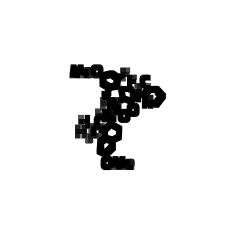 COc1cc(F)c([C@@H]2CN(c3ncccc3C(F)(F)F)C(=O)C2NC(=O)NC2CCc3cc(OC)ccc3C2(C)C)c(F)c1